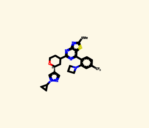 CSc1nc2nc(C3CCO[C@@H](c4cnn(C5CC5)c4)C3)nc(-c3ccc(C(F)(F)F)cc3N3CCC3)c2s1